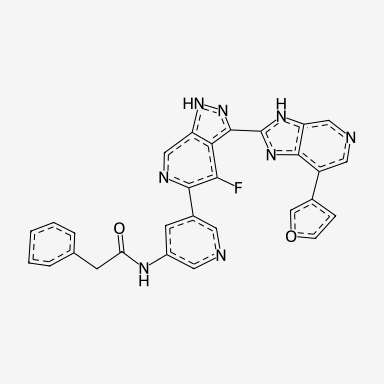 O=C(Cc1ccccc1)Nc1cncc(-c2ncc3[nH]nc(-c4nc5c(-c6ccoc6)cncc5[nH]4)c3c2F)c1